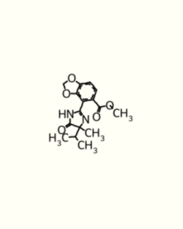 COC(=O)c1ccc2c(c1C1=NC(C)(C(C)C)C(=O)N1)OCO2